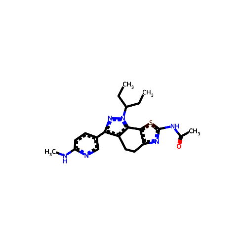 CCC(CC)n1nc(-c2ccc(NC)nc2)c2c1-c1sc(NC(C)=O)nc1CC2